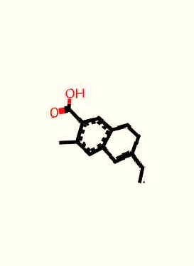 [CH2]CC1=Cc2cc(C)c(C(=O)O)cc2CC1